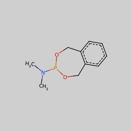 CN(C)P1OCc2ccccc2CO1